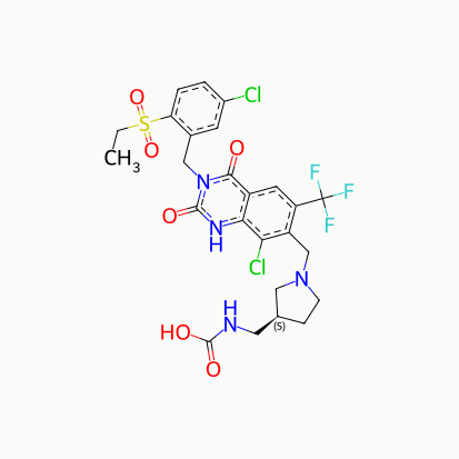 CCS(=O)(=O)c1ccc(Cl)cc1Cn1c(=O)[nH]c2c(Cl)c(CN3CC[C@@H](CNC(=O)O)C3)c(C(F)(F)F)cc2c1=O